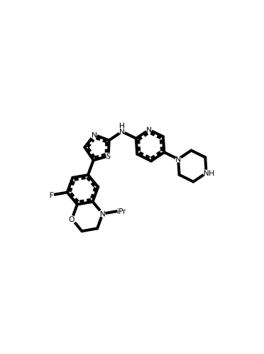 CC(C)N1CCOc2c(F)cc(-c3cnc(Nc4ccc(N5CCNCC5)cn4)s3)cc21